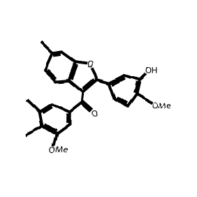 COc1ccc(-c2oc3cc(C)ccc3c2C(=O)c2cc(C)c(C)c(OC)c2)cc1O